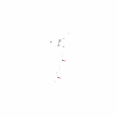 COC1O[C@H](CNC(=O)CCCC(N)=O)[C@H]2OC(C)(C)O[C@@H]12